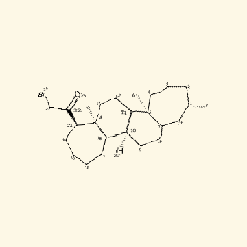 C[C@H]1CCC[C@@]2(C)C(CC[C@@H]3C2CC[C@@]2(C)C3CCCC[C@H]2C(=O)CBr)C1